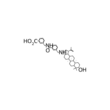 C=C(C)[C@@H]1CC[C@]2(CNCc3cccc(C(=O)NCc4cccc(C(=O)O)c4)c3)CC[C@@]3(C)C(CCC4[C@@]5(C)CC[C@H](O)C(C)(C)C5CC[C@]43C)C12